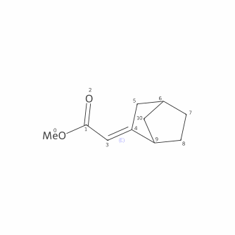 COC(=O)/C=C1\CC2CCC1C2